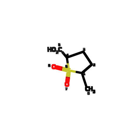 CC1CCC(C(=O)O)S1(=O)=O